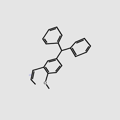 C/C=C\c1cc(C(c2ccccc2)c2ccccc2)ccc1OC